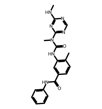 CNc1ncnc(N(C)C(=O)Nc2cc(C(=O)Nc3ccccc3)ccc2C)n1